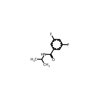 CC(C)NC(=O)c1cc(F)cc(F)c1